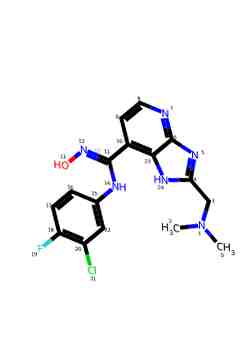 CN(C)Cc1nc2nccc(/C(=N/O)Nc3ccc(F)c(Cl)c3)c2[nH]1